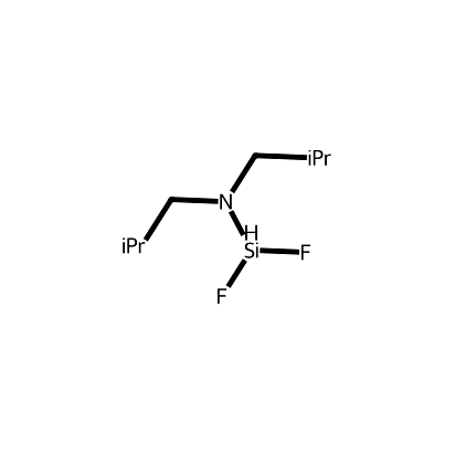 CC(C)CN(CC(C)C)[SiH](F)F